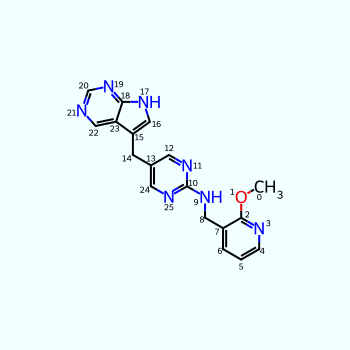 COc1ncccc1CNc1ncc(Cc2c[nH]c3ncncc23)cn1